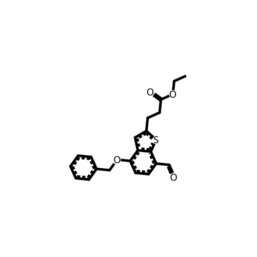 CCOC(=O)CCc1cc2c(OCc3ccccc3)ccc(C=O)c2s1